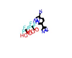 Cn1cc(-c2ccc3c(C#N)cnn3c2)cn1.O=C(O)C(F)(F)F.O=C(O)C(F)(F)F